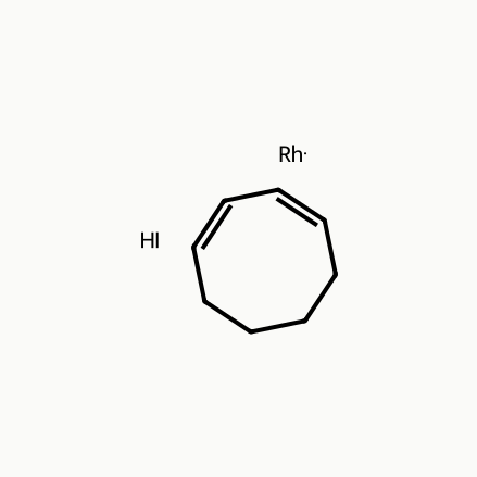 C1=C\CCCC\C=C/1.I.[Rh]